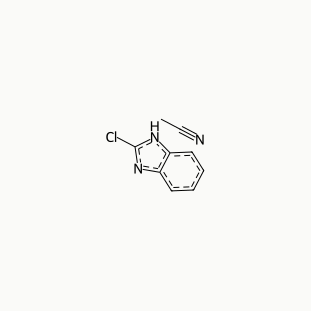 CC#N.Clc1nc2ccccc2[nH]1